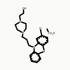 CC(=O)O.OCCN1CCN(CCCN2c3ccccc3Sc3ccc(Cl)cc32)CC1